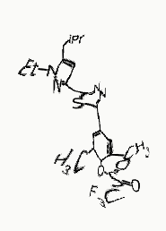 CCn1nc(-c2nnc(C3=CC(C)C(OS(=O)(=O)C(F)(F)F)C(C)=C3)s2)cc1CC(C)C